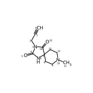 C#CCN1C(=O)NC2(CCN(C)CC2)C1=O